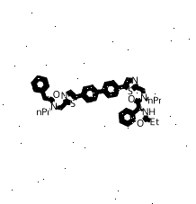 CCCN(Cc1ncc(-c2ccc(-c3ccc(-c4cnc(CN(CCC)C(=O)[C@@H](NC(=O)CC)c5ccccc5)s4)cc3)cc2)s1)C(=O)Cc1ccccc1